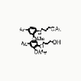 COc1cc(C(C)=O)ccc1OCCCO.COc1cc(C(C)=O)ccc1OCCCOC(C)=O